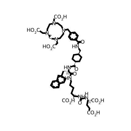 O=C(O)CC[C@H](NC(=O)N[C@@H](CCCCNC(=O)[C@H](Cc1ccc2ccccc2c1)NC(=O)[C@H]1CC[C@H](CNC(=O)c2ccc(CN3CCN(CC(=O)O)CCN(CC(=O)O)CCN(CC(=O)O)CC3)cc2)CC1)C(=O)O)C(=O)O